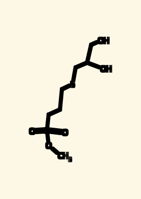 COS(=O)(=O)CCCSCC(O)CO